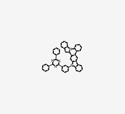 c1ccc(-c2nc(-c3ccccc3)nc(-c3cccc(-n4c5ccccc5c5cc6c7ccccc7n7c8ccccc8cc7c6cc54)c3)n2)cc1